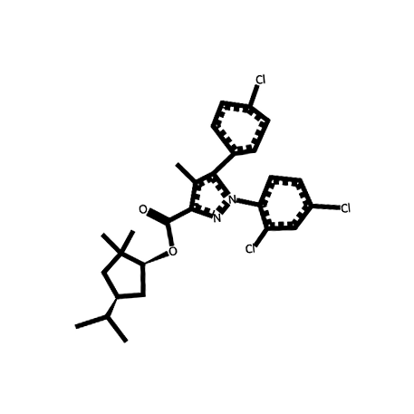 Cc1c(C(=O)O[C@H]2C[C@@H](C(C)C)CC2(C)C)nn(-c2ccc(Cl)cc2Cl)c1-c1ccc(Cl)cc1